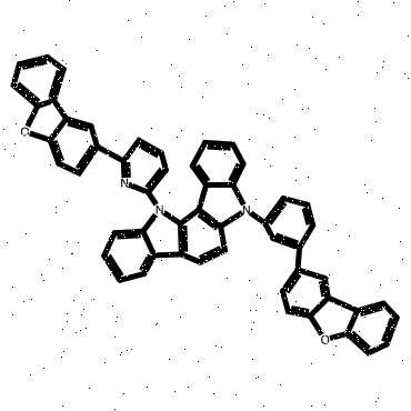 c1cc(-c2ccc3oc4ccccc4c3c2)cc(-n2c3ccccc3c3c2ccc2c4ccccc4n(-c4cccc(-c5ccc6oc7ccccc7c6c5)n4)c23)c1